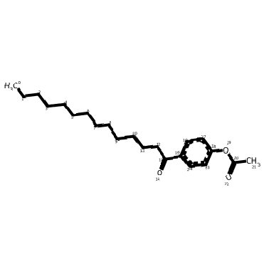 CCCCCCCCCCCCCC(=O)c1ccc(OC(C)=O)cc1